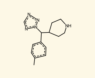 Cc1ccc(C(C2CCNCC2)n2ncnn2)cc1